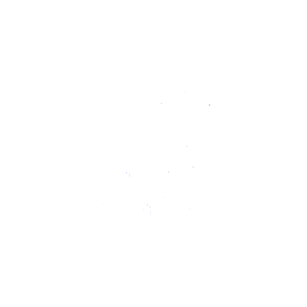 O=c1[nH]cc([Se]c2ccccc2)c(=O)[nH]1